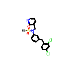 CCS(=O)(=O)N(Cc1cccnc1)c1cccc(Cc2ccc(Cl)cc2Cl)c1